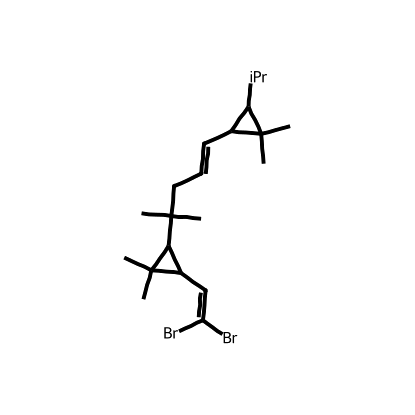 CC(C)C1C(/C=C/CC(C)(C)C2C(C=C(Br)Br)C2(C)C)C1(C)C